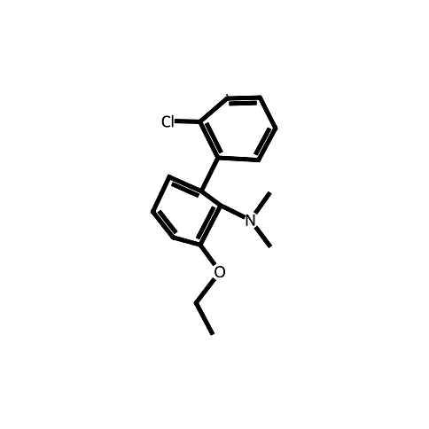 CCOc1cccc(-c2ccc[c]c2Cl)c1N(C)C